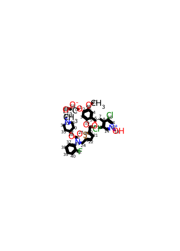 COc1ccc([C@H](Cc2c(Cl)c[n+](O)cc2Cl)OC(=O)c2ccc(CN(C(=O)OC3CCN(C)CC3)c3ccccc3F)s2)cc1OC.O=C[O-]